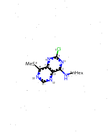 CCCCCCNc1nc(Cl)nc2c(SC)ncnc12